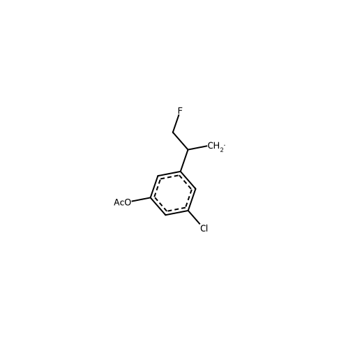 [CH2]C(CF)c1cc(Cl)cc(OC(C)=O)c1